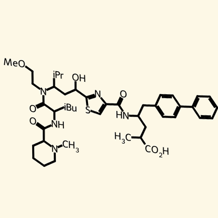 CCC(C)C(NC(=O)C1CCCCN1C)C(=O)N(CCOC)C(CC(O)c1nc(C(=O)NC(Cc2ccc(-c3ccccc3)cc2)CC(C)C(=O)O)cs1)C(C)C